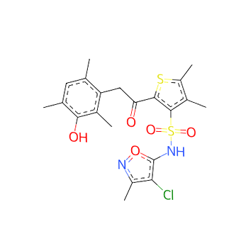 Cc1cc(C)c(CC(=O)c2sc(C)c(C)c2S(=O)(=O)Nc2onc(C)c2Cl)c(C)c1O